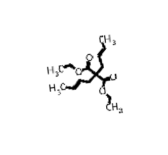 C/C=C/CC(C/C=C/C)(C(=O)OCC)C(=O)OCC